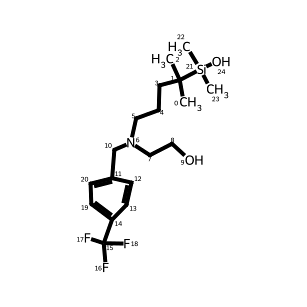 CC(C)(CCCN(CCO)Cc1ccc(C(F)(F)F)cc1)[Si](C)(C)O